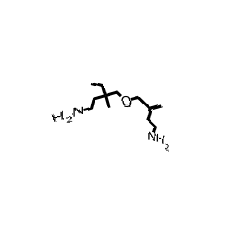 CCC(C)(CCN)COCC(C)CCN